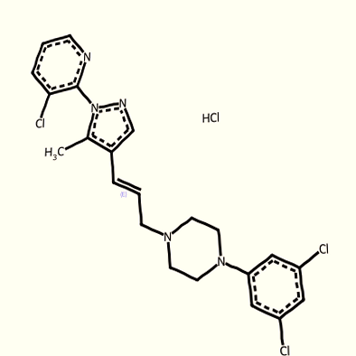 Cc1c(/C=C/CN2CCN(c3cc(Cl)cc(Cl)c3)CC2)cnn1-c1ncccc1Cl.Cl